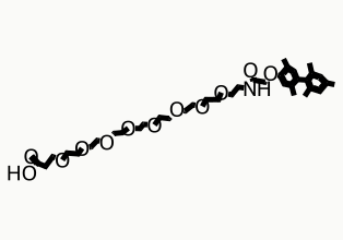 Cc1cc(C)c(-c2cc(C)c(OCC(=O)NCCOCCOCCOCCOCCOCCOCCOCCOCCC(=O)O)cc2C)c(C)c1